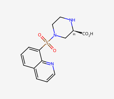 O=C(O)[C@H]1CN(S(=O)(=O)c2cccc3cccnc23)CCN1